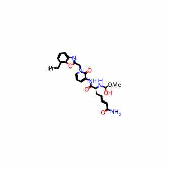 COC(O)N[C@@H](CC/C=C/C(N)=O)C(=O)Nc1cccn(Cc2nc3cccc(CC(C)C)c3o2)c1=O